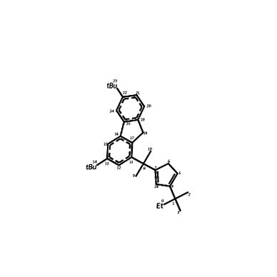 CCC(C)(C)C1=CCC(C(C)(C)c2cc(C(C)(C)C)cc3c2Cc2ccc(C(C)(C)C)cc2-3)=C1